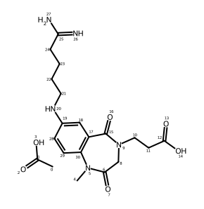 CC(=O)O.CN1C(=O)CN(CCC(=O)O)C(=O)c2cc(NCCCCC(=N)N)ccc21